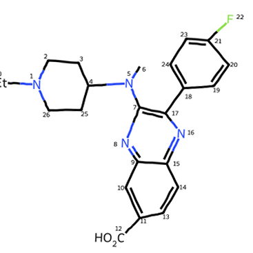 CCN1CCC(N(C)c2nc3cc(C(=O)O)ccc3nc2-c2ccc(F)cc2)CC1